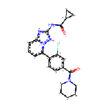 O=C(Nc1nc2cccc(-c3ccc(C(=O)N4CCCCC4)cc3F)n2n1)C1CC1